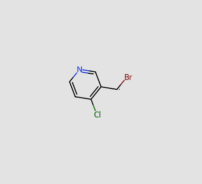 Clc1ccncc1[CH]Br